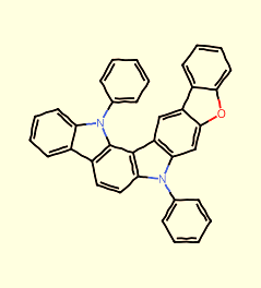 c1ccc(-n2c3cc4oc5ccccc5c4cc3c3c2ccc2c4ccccc4n(-c4ccccc4)c23)cc1